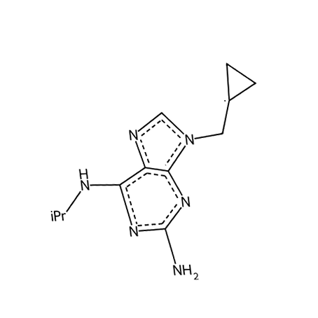 CC(C)Nc1nc(N)nc2c1ncn2C[C]1CC1